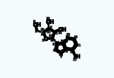 OC[C@H]1O[C@@H](n2cnc3c(S)ccnc32)C(O)[C@H]1O